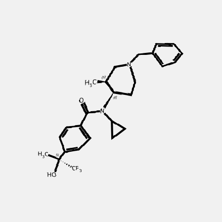 C[C@H]1CN(Cc2ccccc2)CC[C@H]1N(C(=O)c1ccc([C@](C)(O)C(F)(F)F)cc1)C1CC1